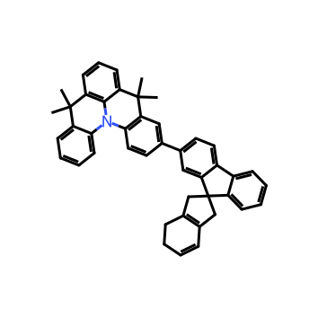 CC1(C)c2ccccc2N2c3ccc(-c4ccc5c(c4)C4(CC6=C(CCC=C6)C4)c4ccccc4-5)cc3C(C)(C)c3cccc1c32